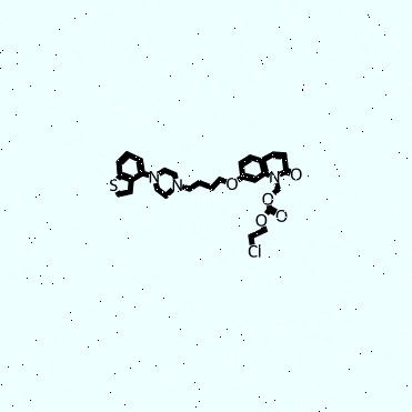 O=C(OCCCl)OCn1c(=O)ccc2ccc(OCCCCN3CCN(c4cccc5c4CCS5)CC3)cc21